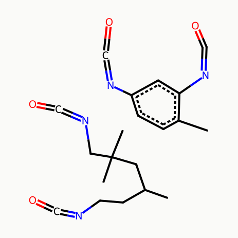 CC(CCN=C=O)CC(C)(C)CN=C=O.Cc1ccc(N=C=O)cc1N=C=O